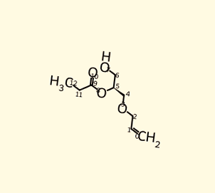 C=CCOC[C@H](CO)OC(=O)CC